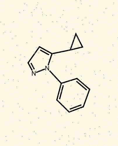 c1ccc(-n2nccc2C2CC2)cc1